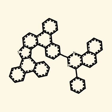 c1ccc(-c2nc(-c3ccc4c(c3)c3ccccc3c3ccc5sc6c7ccccc7c7ccccc7c6c5c34)nc3c2ccc2ccccc23)cc1